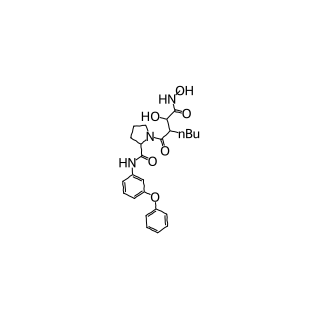 CCCCC(C(=O)N1CCCC1C(=O)Nc1cccc(Oc2ccccc2)c1)C(O)C(=O)NO